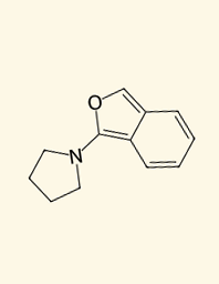 c1ccc2c(N3CCCC3)occ2c1